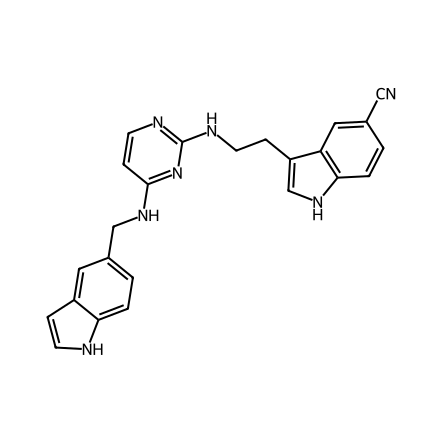 N#Cc1ccc2[nH]cc(CCNc3nccc(NCc4ccc5[nH]ccc5c4)n3)c2c1